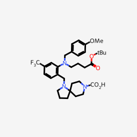 COc1ccc(CN(CCCC(=O)OC(C)(C)C)c2cc(C(F)(F)F)ccc2CN2CCCC23CCN(C(=O)O)CC3)cc1